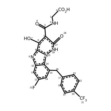 O=C(O)CNC(=O)c1c(O)c2nc3cc(F)cc(Cc4ccc(C(F)(F)F)cc4)c3n2[nH]c1=O